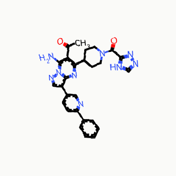 CC(=O)c1c(C2CCN(C(=O)c3nnc[nH]3)CC2)nc2c(-c3ccc(-c4ccccc4)nc3)cnn2c1N